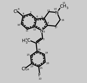 CC(=Cn1c2c(c3cc(Cl)ccc31)CN(C)CC2)c1ccc(F)c(Cl)c1